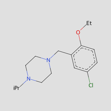 CCOc1ccc(Cl)cc1CN1CCN(C(C)C)CC1